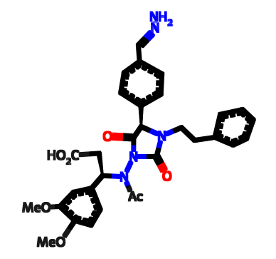 COc1ccc([C@@H](CC(=O)O)N(C(C)=O)N2C(=O)[C@@H](c3ccc(C=NN)cc3)N(CCc3ccccc3)C2=O)cc1OC